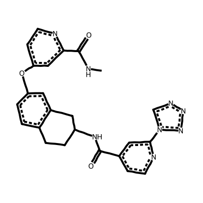 CNC(=O)c1cc(Oc2ccc3c(c2)CC(NC(=O)c2ccnc(-n4cnnn4)c2)CC3)ccn1